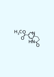 COC(=O)c1cnc2c(c1)NC(=O)CC2